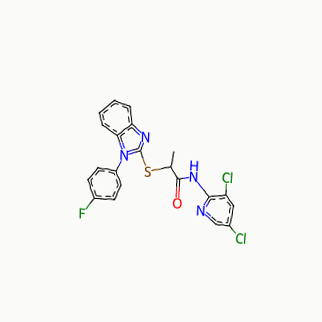 CC(Sc1nc2ccccc2n1-c1ccc(F)cc1)C(=O)Nc1ncc(Cl)cc1Cl